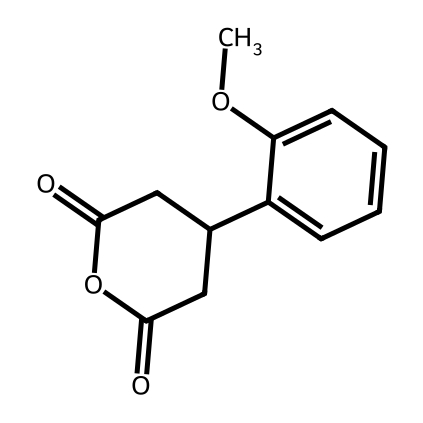 COc1ccccc1C1CC(=O)OC(=O)C1